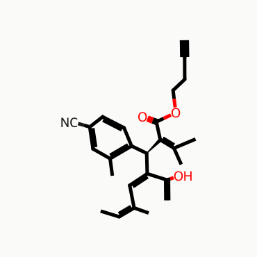 C#CCCOC(=O)C(=C(C)C)[C@@H](/C(=C/C(C)=C\C)C(=C)O)c1ccc(C#N)cc1C